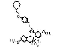 COc1ccc2c(c1)CC(C)(C)C(c1ccc(OC)cc1NCCCc1ccc(OCCN3CCCCCC3)cc1)C2